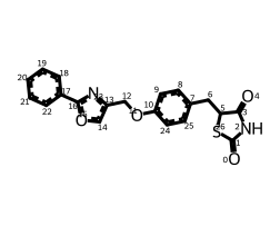 O=C1NC(=O)C(Cc2ccc(OCc3coc(-c4ccccc4)n3)cc2)S1